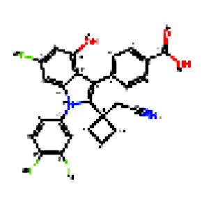 N#CCC1(c2c(-c3ccc(C(=O)O)cc3)c3c(O)cc(F)cc3n2-c2ccc(F)c(F)c2)CCC1